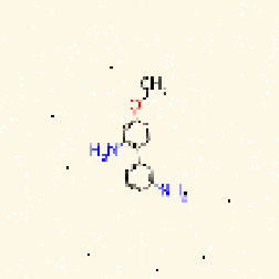 CCOc1ccc(-c2cccc(N)c2)c(N)c1